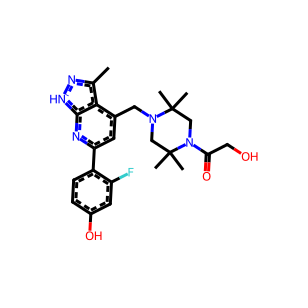 Cc1n[nH]c2nc(-c3ccc(O)cc3F)cc(CN3CC(C)(C)N(C(=O)CO)CC3(C)C)c12